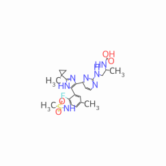 Cc1cc(NS(C)(=O)=O)c(F)c(-c2[nH]c(C3(C)CC3)nc2-c2ccnc(NCC(C)NC(=O)O)n2)c1